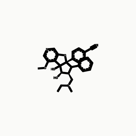 CCN(C)C[C@@H]1C(c2ccccc2)[C@@]2(c3ccc(C#N)cc3)Oc3cncc(OC)c3C2(O)[C@@H]1O